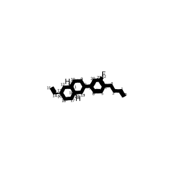 C=CCCc1ccc(C2CC[C@@H]3C[C@H](C=C)CC[C@@H]3C2)cc1F